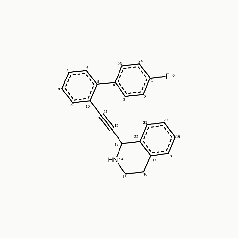 Fc1ccc(-c2ccccc2C#CC2NCCc3ccccc32)cc1